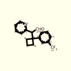 O=CC(c1ccccn1)C1(c2cccc(C(F)(F)F)c2)CCC1